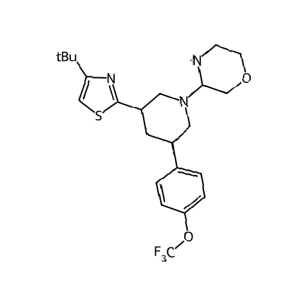 CC(C)(C)c1csc(C2CC(c3ccc(OC(F)(F)F)cc3)CN(C3COCC[N]3)C2)n1